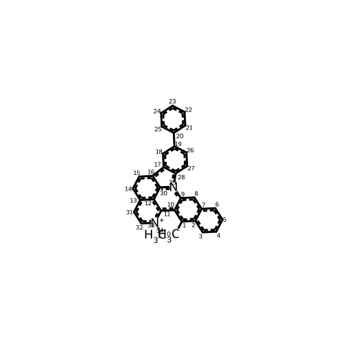 Cc1c2ccccc2cc2c1c1c3c(ccc4c5cc(-c6ccccc6)ccc5n2c43)cc[n+]1C